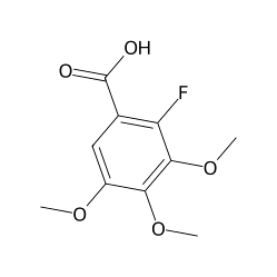 COc1cc(C(=O)O)c(F)c(OC)c1OC